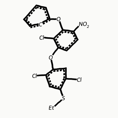 CCSc1cc(Cl)c(Oc2ccc([N+](=O)[O-])c(Oc3ccccc3)c2Cl)cc1Cl